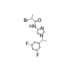 CC(Br)C(=O)Nc1cn(C(C)c2cc(F)cc(F)c2)cn1